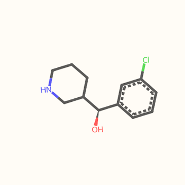 O[C@H](c1cccc(Cl)c1)C1CCCNC1